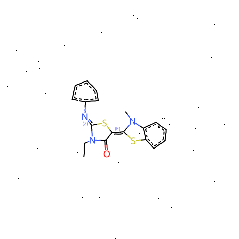 CCN1C(=O)/C(=C2\Sc3ccccc3N2C)S/C1=N\c1ccccc1